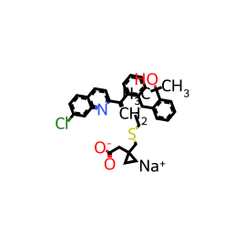 C=C(c1ccc2ccc(Cl)cc2n1)c1ccccc1[C@@H](CCSCC1(CC(=O)[O-])CC1)c1ccccc1C(C)(C)O.[Na+]